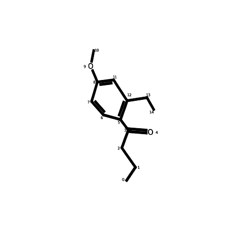 CCCC(=O)c1ccc(OC)cc1CC